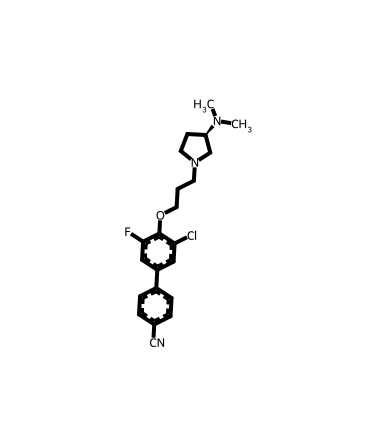 CN(C)[C@@H]1CCN(CCCOc2c(F)cc(-c3ccc(C#N)cc3)cc2Cl)C1